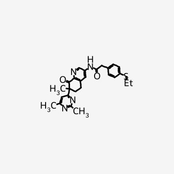 CCSc1ccc(CC(=O)Nc2cnc3c(c2)CCC(C)(c2cc(C)nc(C)n2)C3=O)cc1